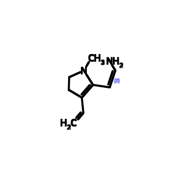 C=CC1=C(/C=C\N)N(C)CC1